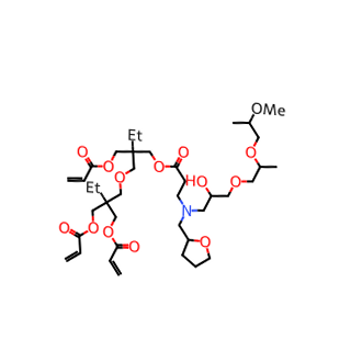 C=CC(=O)OCC(CC)(COCC(CC)(COC(=O)C=C)COC(=O)CCN(CC(O)COCC(C)OCC(C)OC)CC1CCCO1)COC(=O)C=C